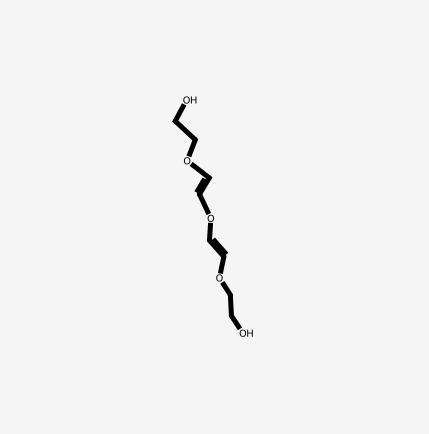 OCCOC=COC=COCCO